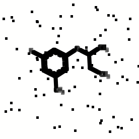 CCC(C)Oc1cc(C)cc(F)c1